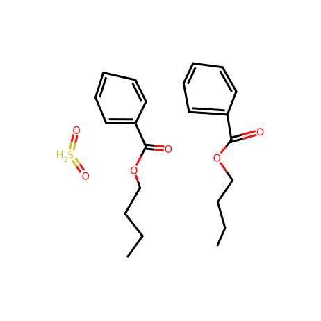 CCCCOC(=O)c1ccccc1.CCCCOC(=O)c1ccccc1.O=[SH2]=O